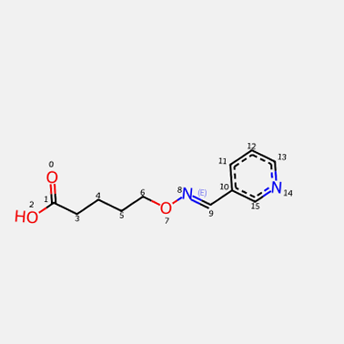 O=C(O)CCCCO/N=C/c1cccnc1